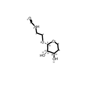 O=CNCCO[C@@H]1OCC[C@@H](O)[C@@H]1O